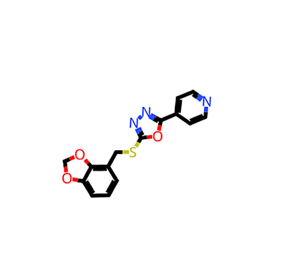 c1cc(CSc2nnc(-c3ccncc3)o2)c2c(c1)OCO2